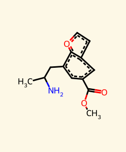 COC(=O)c1cc(CC(C)N)c2occc2c1